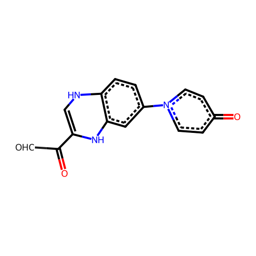 O=CC(=O)C1=CNc2ccc(-n3ccc(=O)cc3)cc2N1